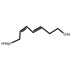 CCCCCCCC/C=C\C=C\CCOC(C)=O